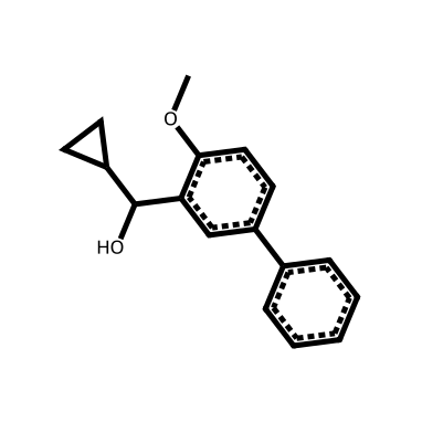 COc1ccc(-c2ccccc2)cc1C(O)C1CC1